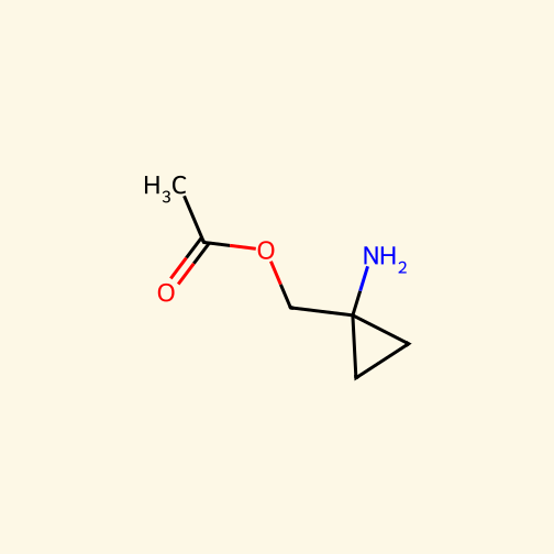 CC(=O)OCC1(N)CC1